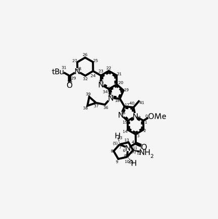 COc1cc(C(=O)N2[C@H]3CC[C@@H]2[C@H](N)C3)cc2nc(-c3cc4ccc(C5CCCN(C(=O)C(C)(C)C)C5)nc4n3CC3CC3)c(C)n12